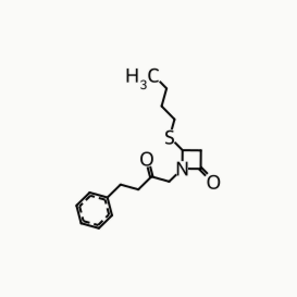 CCCCSC1CC(=O)N1CC(=O)CCc1ccccc1